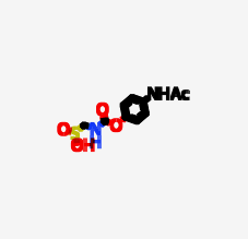 CC(=O)Nc1ccc(OC(=O)NCS(=O)O)cc1